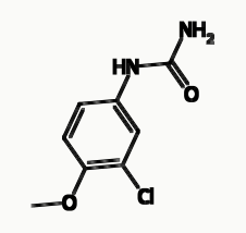 COc1ccc(NC(N)=O)cc1Cl